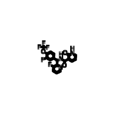 O=C(N[C@@H](c1ccc(OC(F)(F)F)c(F)c1)c1ncccc1F)c1ccc[nH]c1=O